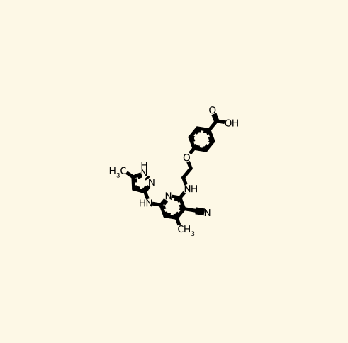 Cc1cc(Nc2cc(C)c(C#N)c(NCCOc3ccc(C(=O)O)cc3)n2)n[nH]1